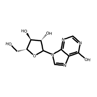 OC[C@H]1OC(n2cnc3c(O)ncnc32)[C@@H](O)[C@@H]1O